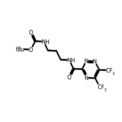 CC(C)(C)OC(=O)NCCCNC(=O)c1nnc(C(F)(F)F)c(C(F)(F)F)n1